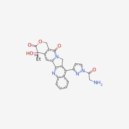 CC[C@@]1(O)C(=O)OCc2c1cc1n(c2=O)Cc2c-1nc1ccccc1c2-c1ccn(C(=O)CN)n1